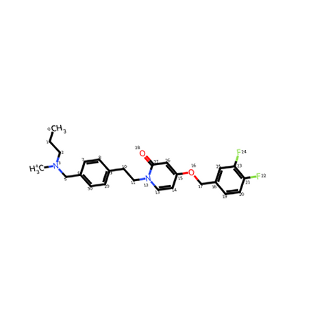 CCCN(C)Cc1ccc(CCn2ccc(OCc3ccc(F)c(F)c3)cc2=O)cc1